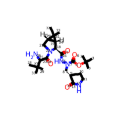 CC(C)(C)OC(=O)N(C[C@@H]1CCNC1=O)NC(=O)[C@@H]1[C@@H]2[C@H](CN1C(=O)C(N)C(C)(C)C)C2(C)C